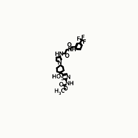 COC(=O)Nc1ncc(C2(O)CCC(N3CC[C@@H](NC(=O)CNC(=O)c4cccc(C(F)(F)F)c4)C3)CC2)s1